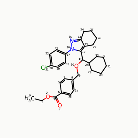 CCOC(=O)c1ccc(COC(c2c3c(nn2-c2ccc(Cl)cc2)CCCC3)C2CCCCC2)cc1